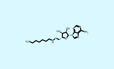 NCCCCCCNOC[C@H]1O[C@@H](n2cnc3c(N)ncnc32)[C@H](O)[C@@H]1O